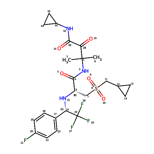 CC(C)(NC(=O)[C@H](CS(=O)(=O)CC1CC1)N[C@@H](c1ccc(F)cc1)C(F)(F)F)C(=O)C(=O)NC1CC1